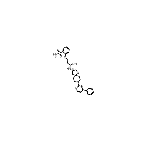 CNS(=O)(=O)c1ccccc1OCCC(O)N[C@H]1COC2(CCN(c3nccc(-c4ccccc4)n3)CC2)C1